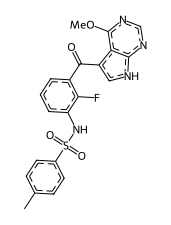 COc1ncnc2[nH]cc(C(=O)c3cccc(NS(=O)(=O)c4ccc(C)cc4)c3F)c12